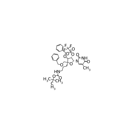 Cc1cn([C@@H]2O[C@](CCCNC(=O)OC(C)(C)C)(COCc3ccccc3)[C@@H](OCc3ccccc3)[C@@H]2OS(=O)(=O)C(F)(F)F)c(=O)[nH]c1=O